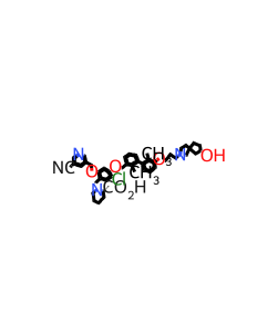 Cc1c(COc2cc(OCc3cncc(C#N)c3)c(CN3CCCC[C@H]3C(=O)O)cc2Cl)cccc1-c1cccc(OCCCN2CCC3(CCC(O)C3)C2)c1C